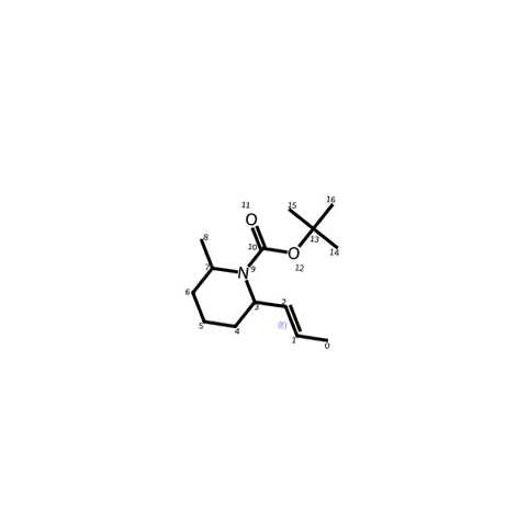 C/C=C/C1CCCC(C)N1C(=O)OC(C)(C)C